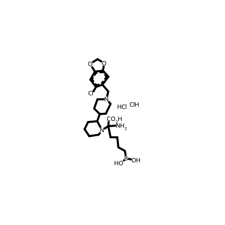 Cl.Cl.NC(CCCCB(O)O)(C(=O)O)N1CCCCC1C1CCN(Cc2cc3c(cc2Cl)OCO3)CC1